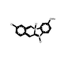 COc1ccc2c(c1)[N+]1([O-])C=c3cc(Cl)ccc3=CC1=[N+]2[O-]